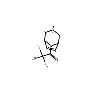 O=C(N1C2C=CC1CNC2)C(F)(F)F